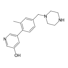 Cc1cc(CN2CCNCC2)ccc1-c1cncc(O)c1